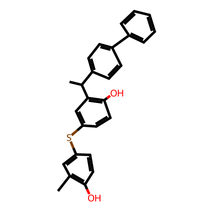 Cc1cc(Sc2ccc(O)c(C(C)c3ccc(-c4ccccc4)cc3)c2)ccc1O